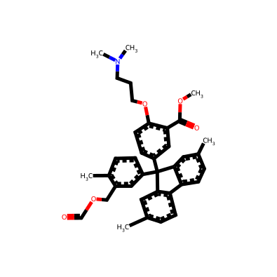 COC(=O)c1cc(C2(c3ccc(C)c(COC=O)c3)c3cc(C)ccc3-c3ccc(C)cc32)ccc1OCCCN(C)C